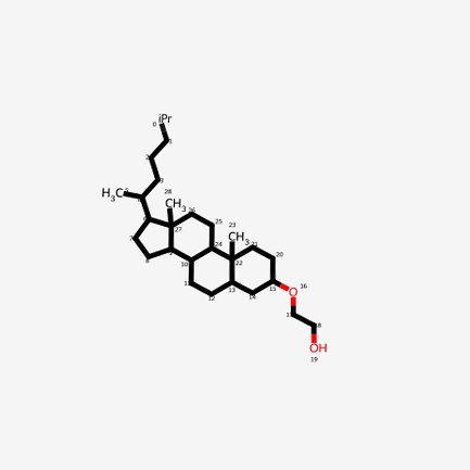 CC(C)CCCC(C)C1CCC2C3CCC4CC(OCCO)CCC4(C)C3CCC12C